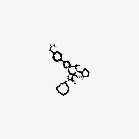 CCc1ccc(-c2cc3n(n2)CC(C)(C(=O)NC2CCCCCC2)N(C2CCCC2)C3=O)cc1